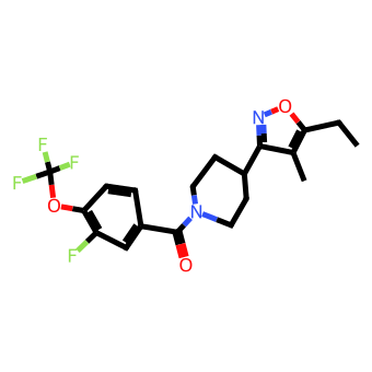 CCc1onc(C2CCN(C(=O)c3ccc(OC(F)(F)F)c(F)c3)CC2)c1C